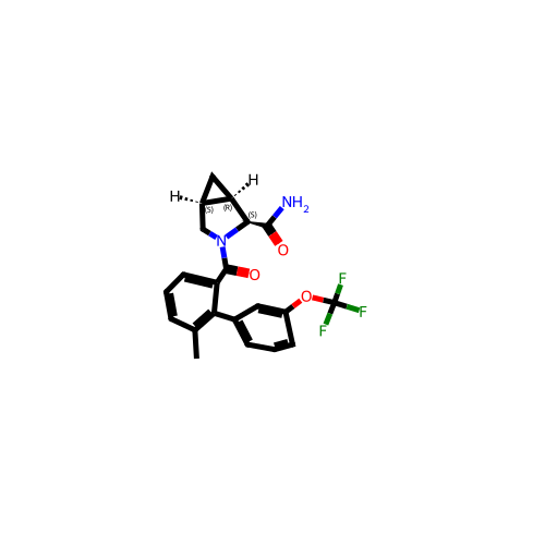 Cc1cccc(C(=O)N2C[C@H]3C[C@H]3[C@H]2C(N)=O)c1-c1cccc(OC(F)(F)F)c1